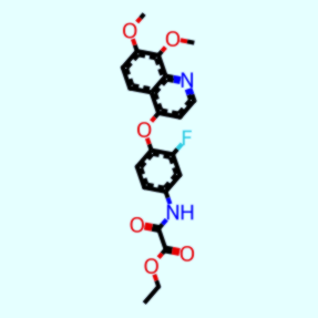 CCOC(=O)C(=O)Nc1ccc(Oc2ccnc3c(OC)c(OC)ccc23)c(F)c1